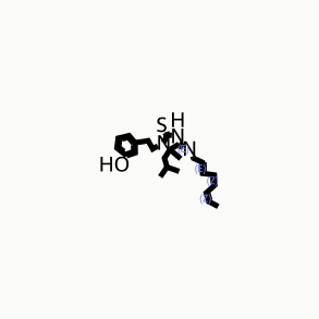 C\C=C/C=C\C=C\C/N=C1/NC(=S)N(CCc2cccc(O)c2)C1(C)CC(C)C